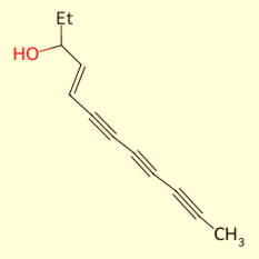 CC#CC#CC#C/C=C/C(O)CC